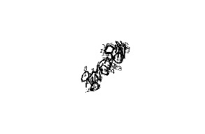 COc1cc(N2CCN(C(=O)c3ccccc3-n3nccn3)[C@H](C)CO2)nc(OC)n1